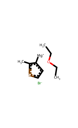 CCOCC.Cc1scc[c]1[Mg+].[Br-]